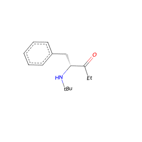 CCC(=O)[C@@H](Cc1ccccc1)NC(C)(C)C